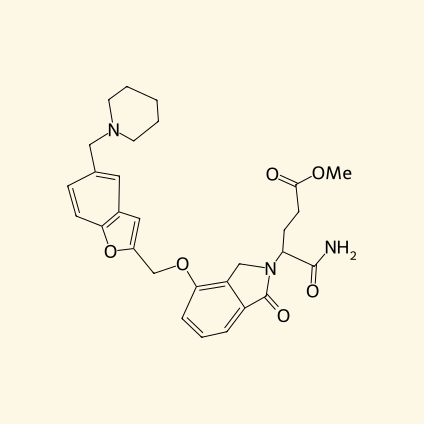 COC(=O)CCC(C(N)=O)N1Cc2c(OCc3cc4cc(CN5CCCCC5)ccc4o3)cccc2C1=O